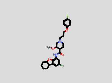 COC1CN(CCCOc2ccc(F)cc2)CCC1C(=O)Nc1cc(Cl)cc2c1OC1CCCCC21